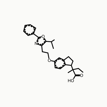 CCC(C)(C(=O)O)C1CCc2cc(OCCc3nc(-c4ccccc4)oc3C(C)C)ccc21